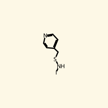 INSCc1ccncc1